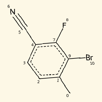 Cc1ccc(C#N)c(F)c1Br